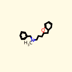 CN(CCCC1CC2CC=CC=C2O1)Cc1ccccc1